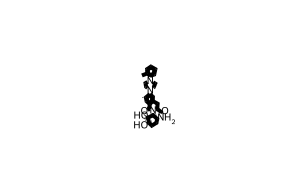 Cc1ccccc1N1CCN(c2[c]cc3c(c2)CC(C(N)=O)N([C@H]2CCC[C@H](O)[C@@H]2O)C3=O)CC1